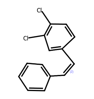 Clc1ccc(/C=C\c2ccccc2)cc1Cl